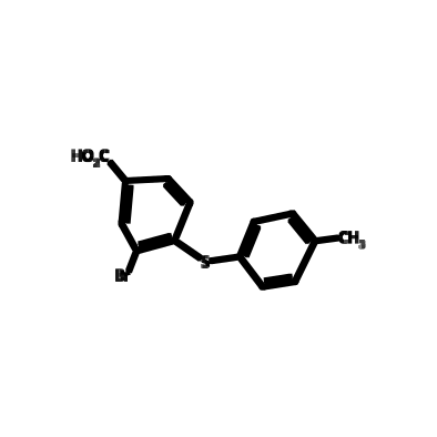 Cc1ccc(Sc2ccc(C(=O)O)cc2Br)cc1